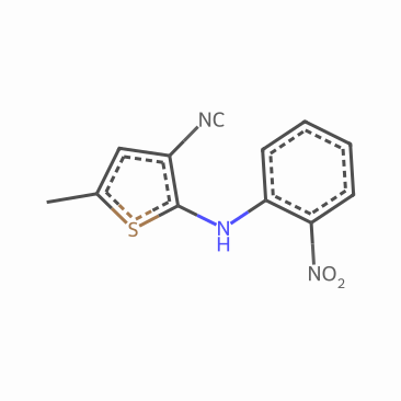 [C-]#[N+]c1cc(C)sc1Nc1ccccc1[N+](=O)[O-]